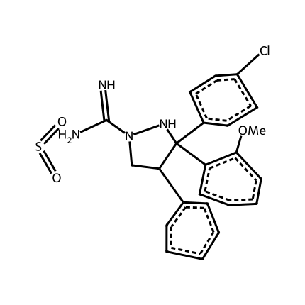 COc1ccccc1C1(c2ccc(Cl)cc2)NN(C(=N)N)CC1c1ccccc1.O=S=O